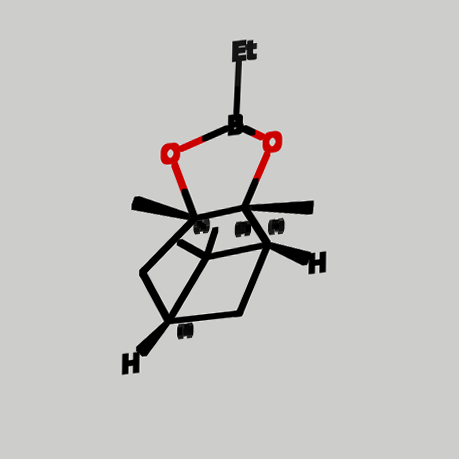 CCB1O[C@@]2(C)C[C@H]3C[C@H](C3(C)C)[C@@]2(C)O1